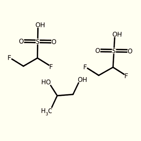 CC(O)CO.O=S(=O)(O)C(F)CF.O=S(=O)(O)C(F)CF